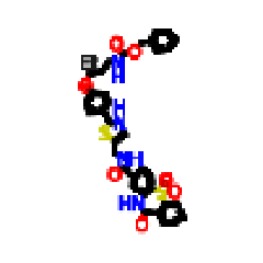 CC[C@@H](CCNC(=O)OCc1ccccc1)Oc1ccc(C2NC=C(CNC(=O)c3ccc4c(c3)NC(=O)c3ccccc3S4(=O)=O)S2)cc1